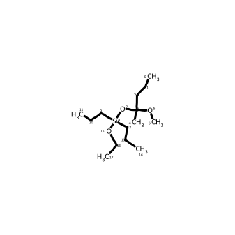 CCCC(C)(OC)O[Si](CCC)(CCC)OCC